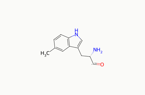 Cc1ccc2[nH]cc(C[C@H](N)[C]=O)c2c1